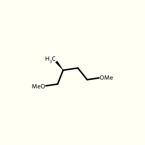 COCC[C@H](C)COC